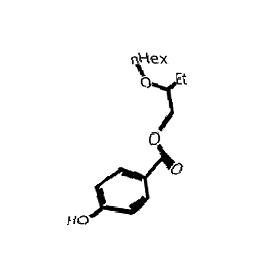 CCCCCCOC(CC)COC(=O)c1ccc(O)cc1